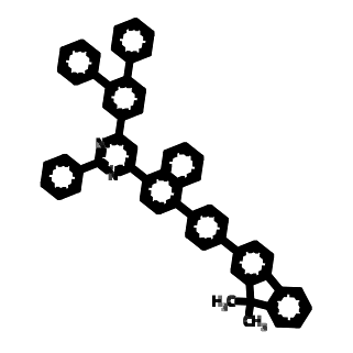 CC1(C)c2ccccc2-c2ccc(-c3ccc(-c4ccc(-c5cc(-c6ccc(-c7ccccc7)c(-c7ccccc7)c6)nc(-c6ccccc6)n5)c5ccccc45)cc3)cc21